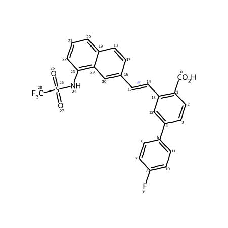 O=C(O)c1ccc(-c2ccc(F)cc2)cc1/C=C/c1ccc2cccc(NS(=O)(=O)C(F)(F)F)c2c1